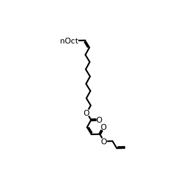 C=CCOC(=O)/C=C\C(=O)OCCCCCCCC/C=C\CCCCCCCC